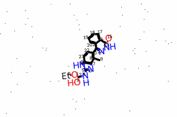 CCOC(O)Nc1nc2c(C)c(-c3n[nH]c(=O)c4ccccc34)ccc2[nH]1